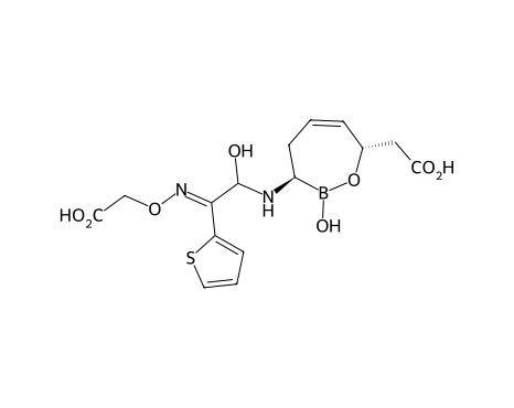 O=C(O)CO/N=C(\c1cccs1)C(O)N[C@H]1CC=C[C@H](CC(=O)O)OB1O